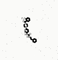 O=C(NC=Cc1ccccc1)Nc1ccc(N2CCN(C(=O)c3ccccc3C(F)(F)F)CC2)nn1